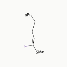 CCCCCC/C=C(\I)SC